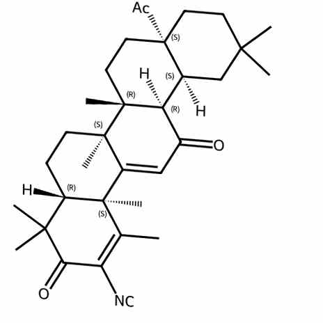 [C-]#[N+]C1=C(C)[C@]2(C)C3=CC(=O)[C@@H]4[C@@H]5CC(C)(C)CC[C@]5(C(C)=O)CC[C@@]4(C)[C@]3(C)CC[C@H]2C(C)(C)C1=O